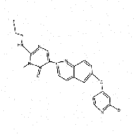 Cn1c(NCCF)ncc(-c2ccc3cc(Oc4ccnc(Br)c4)ccc3n2)c1=O